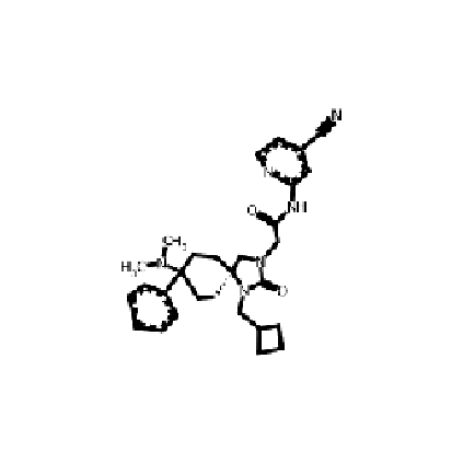 CN(C)[C@]1(c2ccccc2)CC[C@]2(CC1)CN(CC(=O)Nc1cc(C#N)ccn1)C(=O)N2CC1CCC1